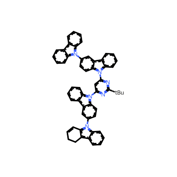 CC(C)(C)c1nc(-n2c3ccccc3c3cc(-n4c5c(c6ccccc64)CCC=C5)ccc32)cc(-n2c3ccccc3c3cc(-n4c5ccccc5c5ccccc54)ccc32)n1